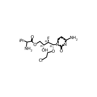 CC(C)C(N)C(=O)OC[C@@H](O)[C@@H](F)[C@@H](OCCCl)n1ccc(N)nc1=O